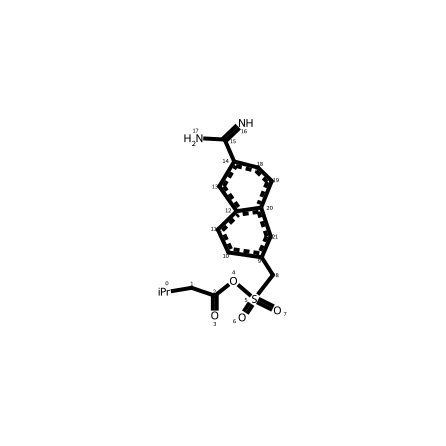 CC(C)CC(=O)OS(=O)(=O)Cc1ccc2cc(C(=N)N)ccc2c1